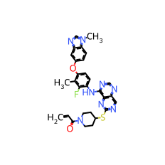 C=CC(=O)N1CCC(Sc2ncc3ncnc(Nc4ccc(Oc5ccc6c(c5)ncn6C)c(C)c4F)c3n2)CC1